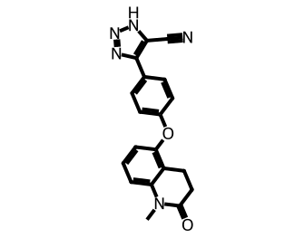 CN1C(=O)CCc2c(Oc3ccc(-c4nn[nH]c4C#N)cc3)cccc21